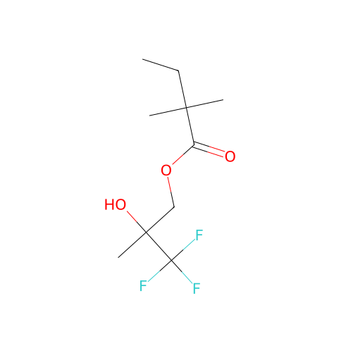 CCC(C)(C)C(=O)OCC(C)(O)C(F)(F)F